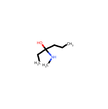 CCCC(O)(CC)NC